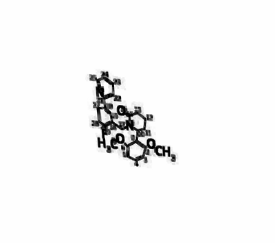 COc1cccc(OC)c1C1CCCC(=O)N1Cc1cc(-c2ccccn2)ccc1F